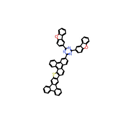 c1ccc2c(c1)oc1ccc(-c3nc(-c4ccc5oc6ccccc6c5c4)nc(-c4ccc5c(c4)c4ccccc4c4c5ccc5c6cc7c8ccccc8c8ccccc8c7cc6sc54)n3)cc12